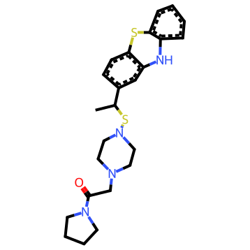 CC(SN1CCN(CC(=O)N2CCCC2)CC1)c1ccc2c(c1)Nc1ccccc1S2